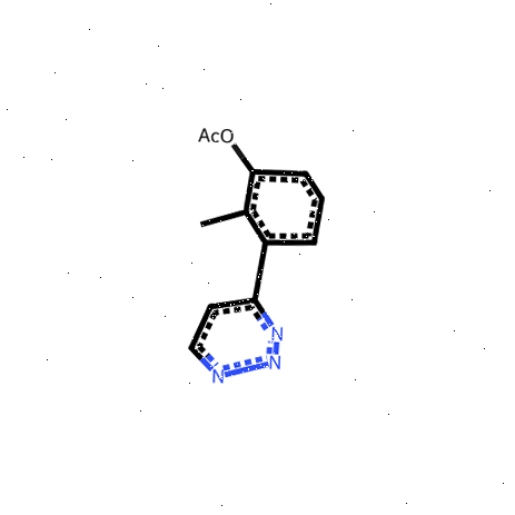 CC(=O)Oc1cccc(-c2ccnnn2)c1C